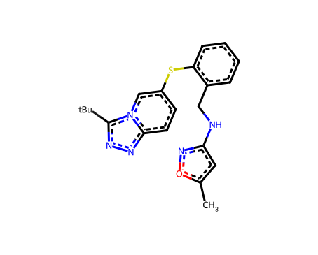 Cc1cc(NCc2ccccc2Sc2ccc3nnc(C(C)(C)C)n3c2)no1